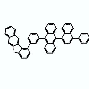 c1ccc(-c2ccc(-c3c4ccccc4c(-c4cccc(-c5cccc6oc7cc8ccccc8cc7c56)c4)c4ccccc34)c3ccccc23)cc1